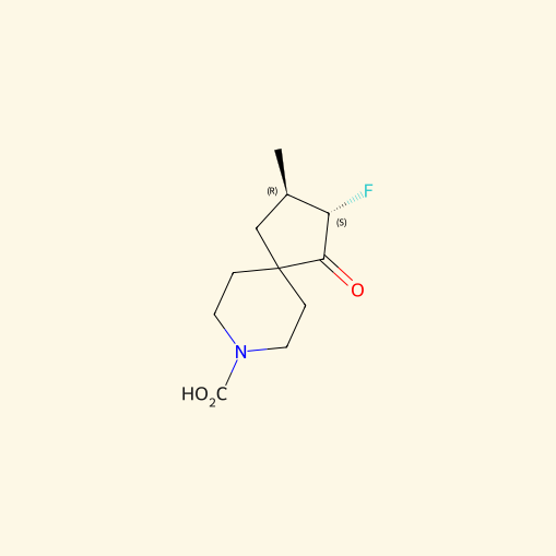 C[C@@H]1CC2(CCN(C(=O)O)CC2)C(=O)[C@H]1F